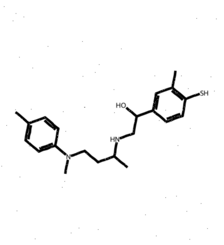 Cc1ccc(N(C)CCC(C)NCC(O)c2ccc(S)c(C)c2)cc1